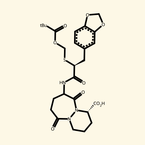 CC(C)(C)C(=O)OCS[C@@H](Cc1ccc2c(c1)OCO2)C(=O)NC1CCC(=O)N2CCC[C@@H](C(=O)O)N2C1=O